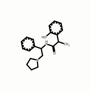 CC(C(=O)NC(CN1CCCC1)c1ccccc1)c1ccccc1O